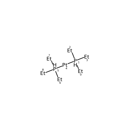 CC[PH](CC)(CC)[Pt][PH](CC)(CC)CC